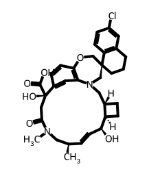 C[C@@H]1/C=C/[C@H](O)[C@@H]2CC[C@H]2CN2C[C@@]3(CCCc4cc(Cl)ccc43)COc3ccc(cc32)[C@@](O)(C(=O)O)CC(=O)N(C)C1